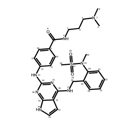 CN(C)CCCNC(=O)c1ccc(Nc2nc(NCc3ccccc3N(C)S(C)(=O)=O)c3cc[nH]c3n2)cc1